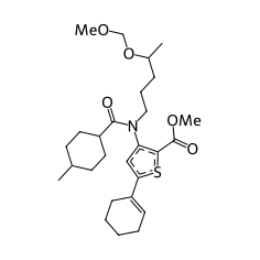 COCOC(C)CCCN(C(=O)C1CCC(C)CC1)c1cc(C2=CCCCC2)sc1C(=O)OC